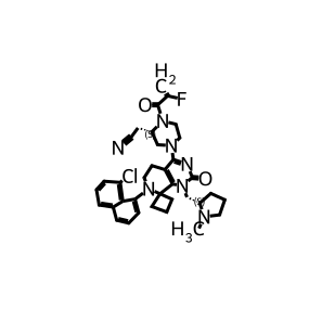 C=C(F)C(=O)N1CCN(c2nc(=O)n(C[C@@H]3CCCN3C)c3c2CCN(c2cccc4cccc(Cl)c24)C32CCC2)C[C@@H]1CC#N